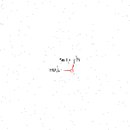 CCCOC(=O)O.[SnH2]